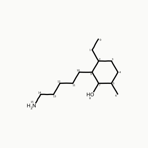 CCC1CCC(C)C(O)C1CCCCCN